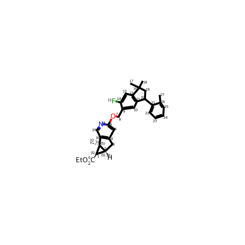 CCOC(=O)[C@H]1[C@@H]2Cc3cc(OCc4cc5c(cc4F)C(C)(C)CC5c4ccccc4C)ncc3[C@@]21C